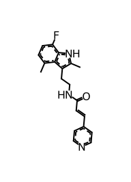 Cc1[nH]c2c(F)ccc(C)c2c1CCNC(=O)/C=C/c1ccncc1